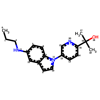 CCCNc1ccc2c(ccn2-c2ccc(C(C)(C)O)nc2)c1